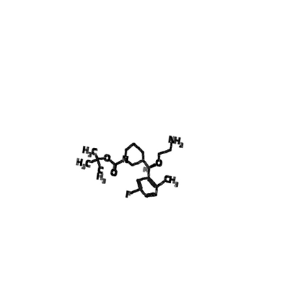 Cc1ccc(F)cc1[C@H](OCCN)C1CCCN(C(=O)OC(C)(C)C)C1